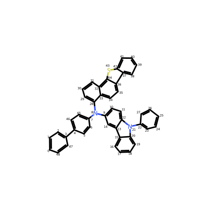 c1ccc(-c2ccc(N(c3ccc4c(c3)c3ccccc3n4-c3ccccc3)c3cccc4c3ccc3c5ccccc5sc43)cc2)cc1